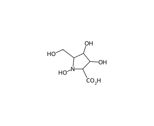 O=C(O)C1C(O)C(O)C(CO)N1O